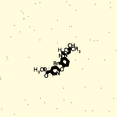 COC(=O)c1ccc(Oc2ccc3c(nnn3CC(C)(C)C)c2Br)nc1